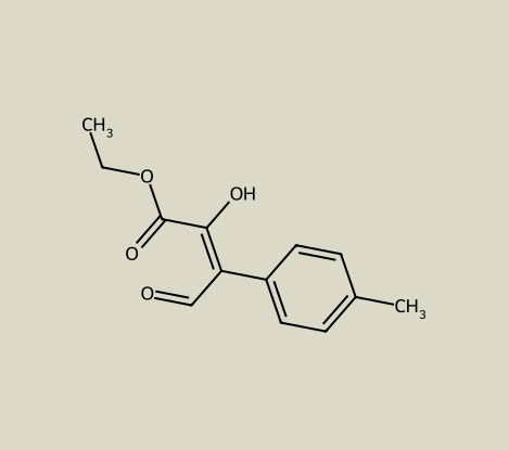 CCOC(=O)C(O)=C(C=O)c1ccc(C)cc1